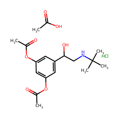 CC(=O)O.CC(=O)Oc1cc(OC(C)=O)cc(C(O)CNC(C)(C)C)c1.Cl